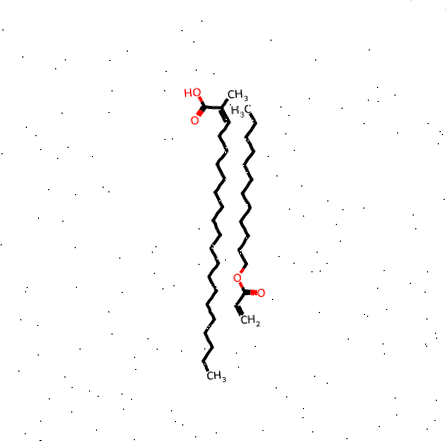 C=CC(=O)OCCCCCCCCCCCC.CCCCCCCCCCCCCCCCCCC=C(C)C(=O)O